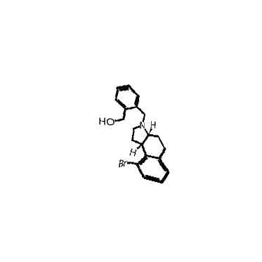 OCc1ccccc1CN1CC[C@H]2c3c(Br)cccc3CC[C@H]21